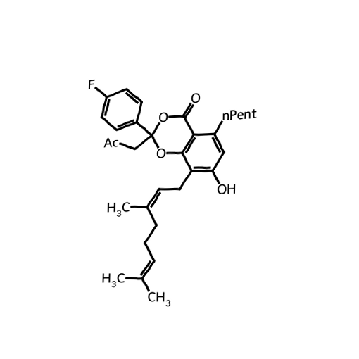 CCCCCc1cc(O)c(CC=C(C)CCC=C(C)C)c2c1C(=O)OC(CC(C)=O)(c1ccc(F)cc1)O2